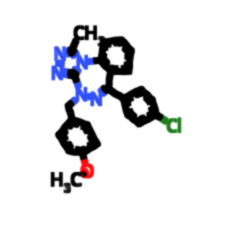 COc1ccc(CN2N=C(c3ccc(Cl)cc3)c3ccccc3-n3c(C)nnc32)cc1